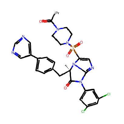 CC(C)C(=O)N1CCN(S(=O)(=O)c2cnc3n2[C@](C)(Cc2ccc(-c4cncnc4)cc2)C(=O)N3c2cc(Cl)cc(Cl)c2)CC1